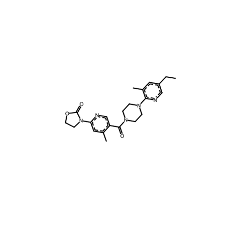 CCc1cnc(N2CCN(C(=O)c3cnc(N4CCOC4=O)cc3C)CC2)c(C)c1